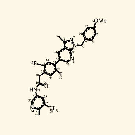 COc1ccc(Cn2nc(C)c3cc(-c4cc(F)c(CC(=O)Nc5cnc(C)c(C(F)(F)F)c5)cc4F)cnc32)cc1